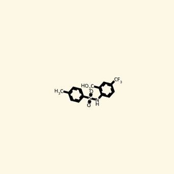 Cc1ccc(S(=O)(=O)Nc2ccc(C(F)(F)F)cc2C(=O)O)cc1